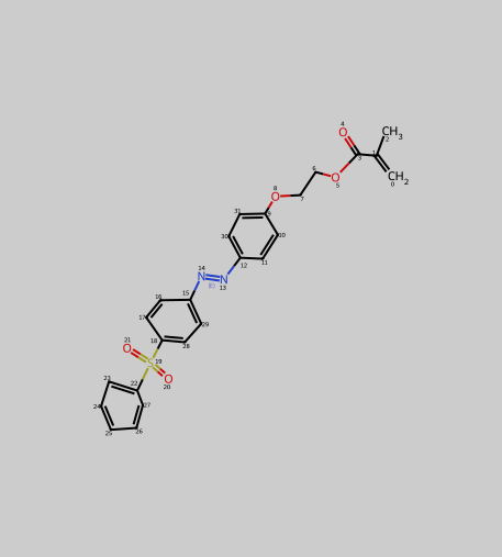 C=C(C)C(=O)OCCOc1ccc(/N=N/c2ccc(S(=O)(=O)c3ccccc3)cc2)cc1